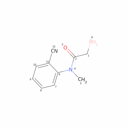 BCC(=O)N(C)c1ccccc1C#N